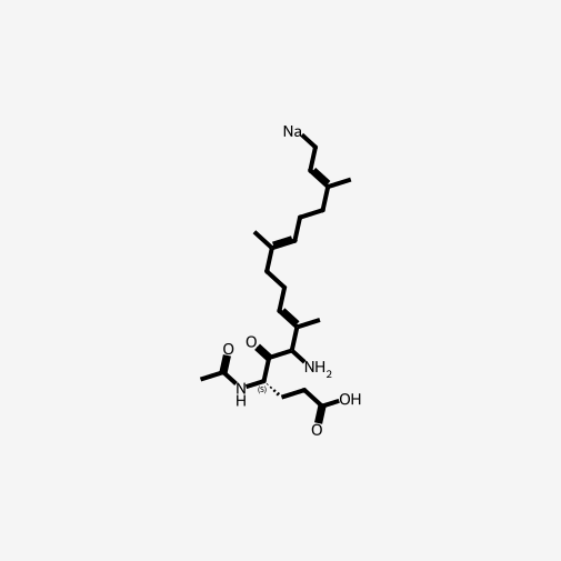 CC(=O)N[C@@H](CCC(=O)O)C(=O)C(N)C(C)=CCCC(C)=CCCC(C)=C[CH2][Na]